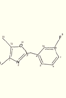 [CH2]c1nc(-c2cccc(F)c2)oc1C